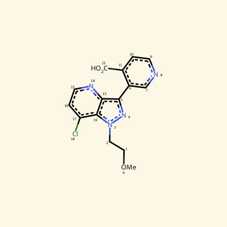 COCCn1nc(-c2cnccc2C(=O)O)c2nccc(Cl)c21